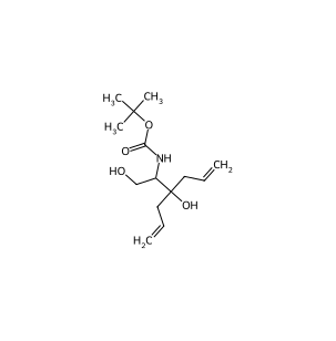 C=CCC(O)(CC=C)C(CO)NC(=O)OC(C)(C)C